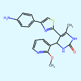 COc1ncccc1C1NC(=O)NC(C)=C1c1nc(-c2ccc(N)cc2)cs1